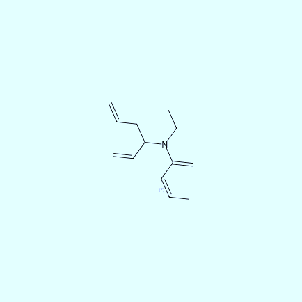 C=CCC(C=C)N(CC)C(=C)/C=C\C